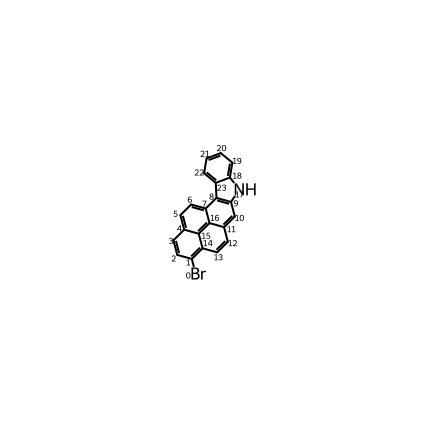 Brc1ccc2ccc3c4c(cc5ccc1c2c53)[nH]c1ccccc14